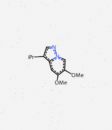 COc1cc2c(C(C)C)cnn2cc1OC